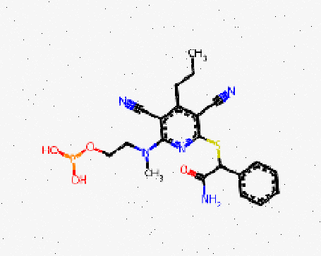 CCCc1c(C#N)c(SC(C(N)=O)c2ccccc2)nc(N(C)CCOP(O)O)c1C#N